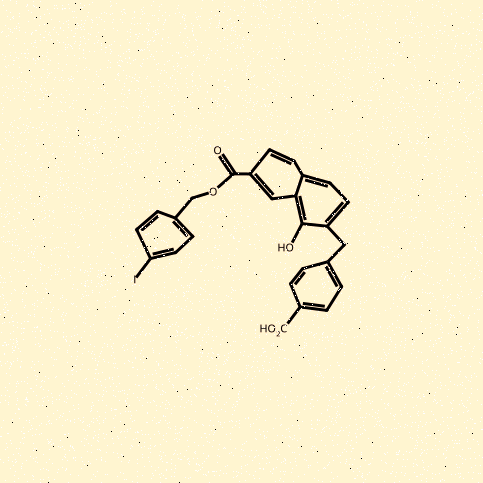 O=C(O)c1ccc(Cc2ccc3ccc(C(=O)OCc4ccc(I)cc4)cc3c2O)cc1